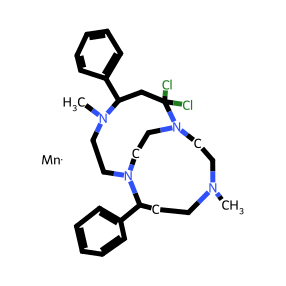 CN1CCC(c2ccccc2)N2CCN(C)C(c3ccccc3)CC(Cl)(Cl)N(CC1)CC2.[Mn]